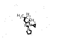 CC(C)=CC1N=C(N2CCCC2)N(C2CC2)N1C